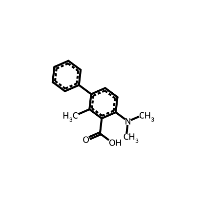 Cc1c(-c2ccccc2)ccc(N(C)C)c1C(=O)O